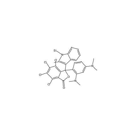 CCn1c(C)c(C2(c3ccc(N(C)C)cc3N(C)C)OC(=O)c3c(Cl)c(Cl)c(Cl)c(Cl)c32)c2ccccc21